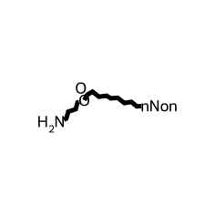 CCCCCCCCCCCCCCCCCC(=O)OCCCCN